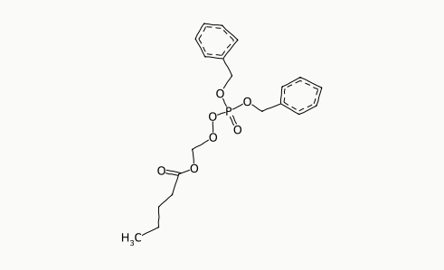 CCCCC(=O)OCOOP(=O)(OCc1ccccc1)OCc1ccccc1